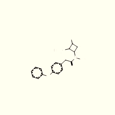 CCCN(C(=O)Cc1ccc(Oc2ccccc2)cc1)C1CC(C(=O)O)C1C(=O)O